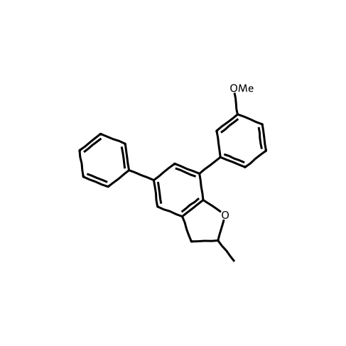 COc1cccc(-c2cc(-c3ccccc3)cc3c2OC(C)C3)c1